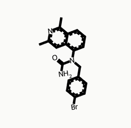 Cc1cc2c(N(Cc3ccc(Br)cc3)C(N)=O)cccc2c(C)n1